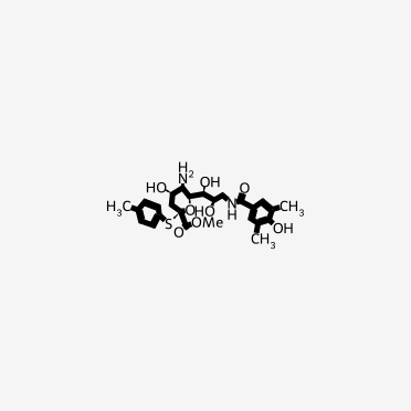 COC(=O)[C@@]1(Sc2ccc(C)cc2)C[C@H](O)[C@@H](N)[C@H]([C@H](O)[C@H](O)CNC(=O)c2cc(C)c(O)c(C)c2)O1